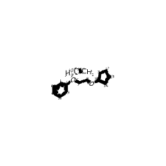 C=C.c1ccc(OCCOC2CCCC2)cc1